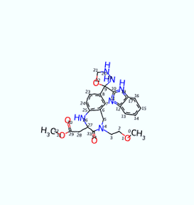 COCCN1Cc2cc(C3(c4nc5ccccc5[nH]4)NNCO3)ccc2NC(CC(=O)OC)C1=O